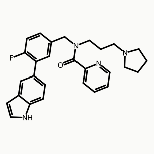 O=C(c1ccccn1)N(CCCN1CCCC1)Cc1ccc(F)c(-c2ccc3[nH]ccc3c2)c1